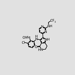 COc1c(Cl)cccc1Nc1c(-c2ccnc(NCC(F)(F)F)n2)[nH]c2c1C(=O)NCC2